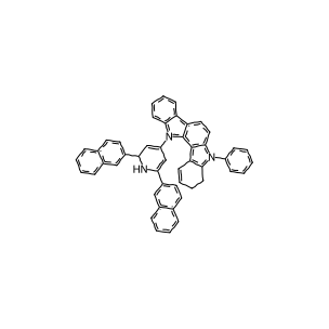 C1=Cc2c(n(-c3ccccc3)c3ccc4c5ccccc5n(C5=CC(c6ccc7ccccc7c6)NC(c6ccc7ccccc7c6)=C5)c4c23)CC1